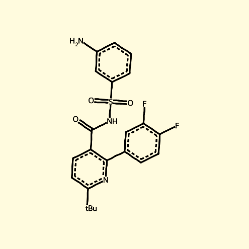 CC(C)(C)c1ccc(C(=O)NS(=O)(=O)c2cccc(N)c2)c(-c2ccc(F)c(F)c2)n1